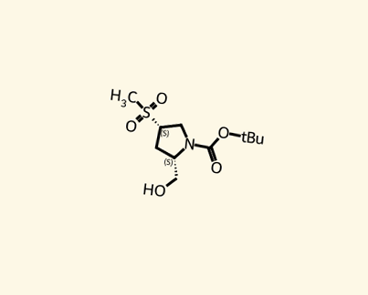 CC(C)(C)OC(=O)N1C[C@@H](S(C)(=O)=O)C[C@H]1CO